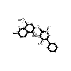 CCn1nc(-c2ccccc2)c(C(C)=O)c(Nc2ccc(C(=O)O)c3nc(C)ccc23)c1=O